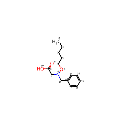 CCCCCON(CC(=O)O)Cc1ccccc1